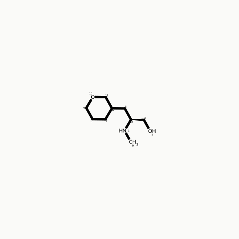 CN[C@H](CO)CC1CCCOC1